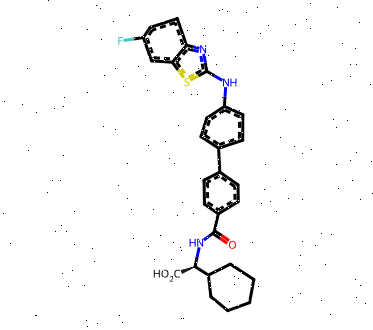 O=C(N[C@H](C(=O)O)C1CCCCC1)c1ccc(-c2ccc(Nc3nc4ccc(F)cc4s3)cc2)cc1